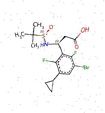 CC(C)(C)[S@@+]([O-])N[C@@H](CC(=O)O)c1c(F)c(Br)cc(C2CC2)c1F